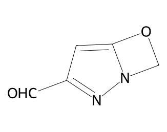 O=Cc1cc2n(n1)CO2